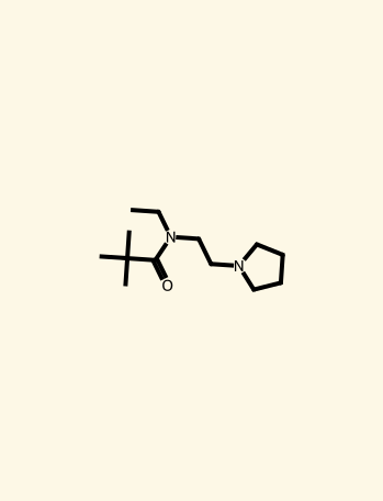 CCN(CCN1CCCC1)C(=O)C(C)(C)C